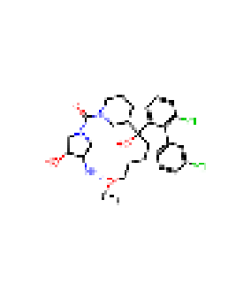 COCCCC[C@@](O)(c1cccc(Cl)c1-c1cccc(Cl)c1)[C@@H]1CCCN(C(=O)N2C[C@@H](N)[C@@H](O)C2)C1